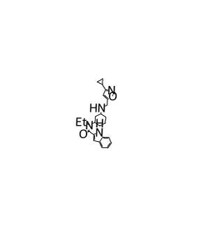 CCN(C(=O)c1cc2ccccc2[nH]1)C1CCCC(NCc2cc(C3CC3)no2)C1